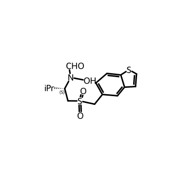 CC(C)[C@@H](CS(=O)(=O)Cc1ccc2sccc2c1)N(O)C=O